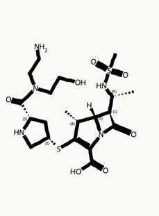 C[C@@H](NS(C)(=O)=O)[C@H]1C(=O)N2C(C(=O)O)=C(S[C@@H]3CN[C@H](C(=O)N(CCN)CCO)C3)[C@H](C)[C@H]12